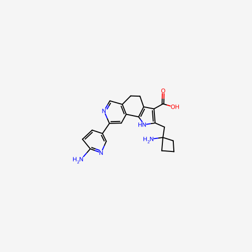 Nc1ccc(-c2cc3c(cn2)CCc2c-3[nH]c(CC3(N)CCC3)c2C(=O)O)cn1